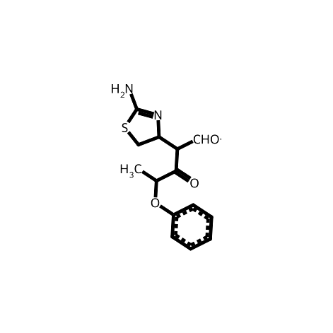 CC(Oc1ccccc1)C(=O)C([C]=O)C1CSC(N)=N1